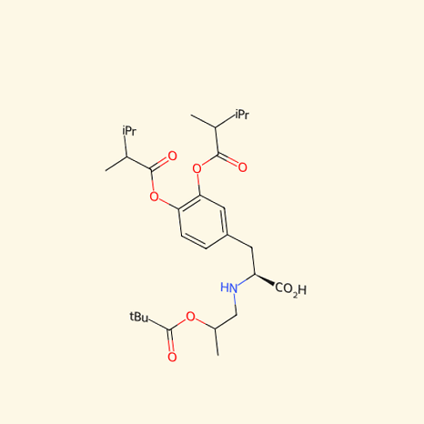 CC(CN[C@@H](Cc1ccc(OC(=O)C(C)C(C)C)c(OC(=O)C(C)C(C)C)c1)C(=O)O)OC(=O)C(C)(C)C